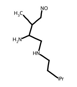 CC(C)CCNCC(N)C(C)CN=O